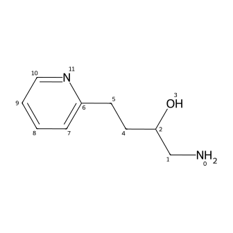 NCC(O)CCc1ccccn1